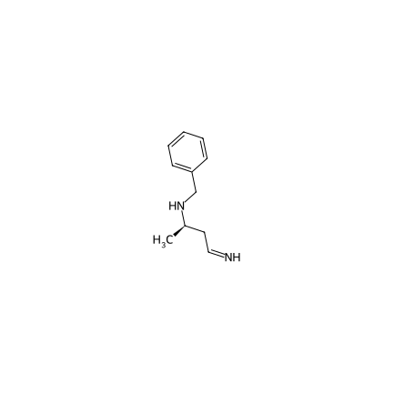 C[C@H](CC=N)NCc1ccccc1